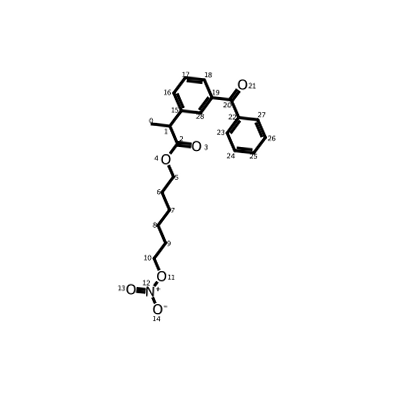 CC(C(=O)OCCCCCCO[N+](=O)[O-])c1cccc(C(=O)c2ccccc2)c1